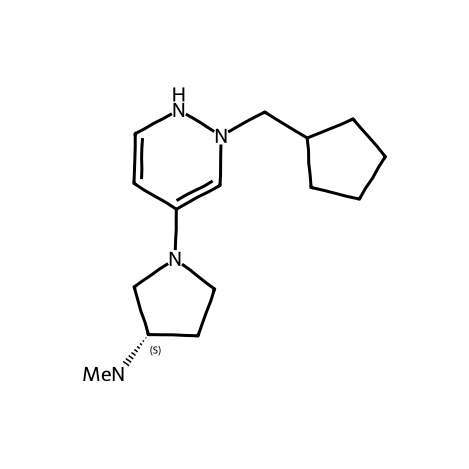 CN[C@H]1CCN(C2=CN(CC3CCCC3)NC=C2)C1